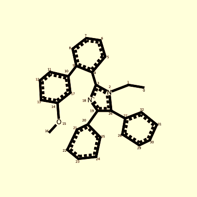 CCn1c(-c2ccccc2-c2cccc(OC)c2)nc(-c2ccccc2)c1-c1ccccc1